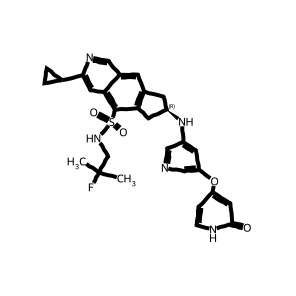 CC(C)(F)CNS(=O)(=O)c1c2c(cc3cnc(C4CC4)cc13)C[C@@H](Nc1cncc(Oc3cc[nH]c(=O)c3)c1)C2